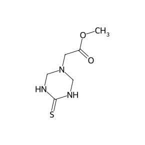 COC(=O)CN1CNC(=S)NC1